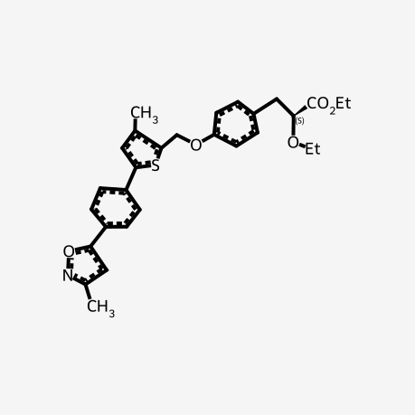 CCOC(=O)[C@H](Cc1ccc(OCc2sc(-c3ccc(-c4cc(C)no4)cc3)cc2C)cc1)OCC